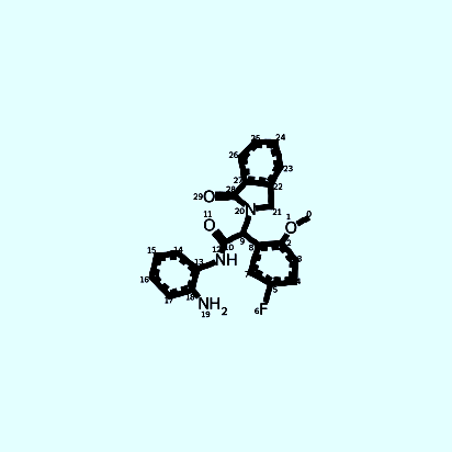 COc1ccc(F)cc1C(C(=O)Nc1ccccc1N)N1Cc2ccccc2C1=O